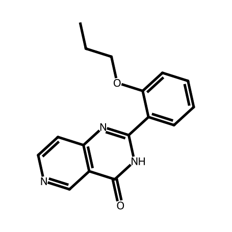 CCCOc1ccccc1-c1nc2ccncc2c(=O)[nH]1